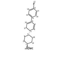 CCCCCCCCCC[C@H]1CC[C@H](C2C=CC(c3ccc(F)cc3)=CC2)CC1